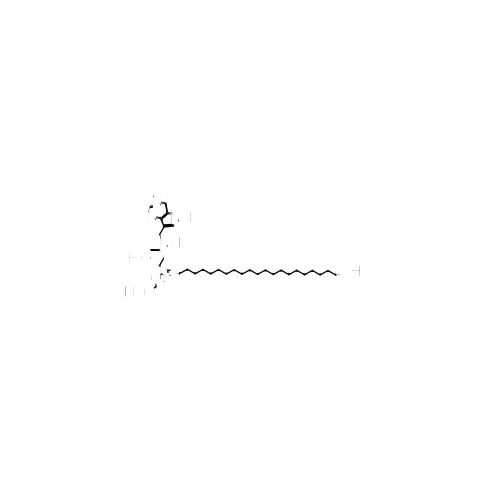 CCOP(=O)(CC[C@@H](CO)NCc1c[nH]c2c(=O)[nH]cnc12)OCCCCCCCCCCCCCCCCCCCCCO